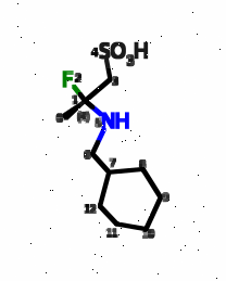 C[C@@](F)(CS(=O)(=O)O)NCC1CCCCC1